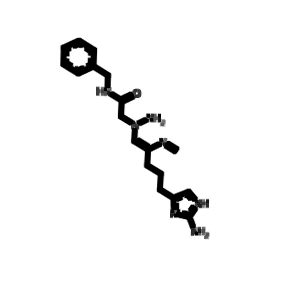 C=N/C(=C\N(N)CC(=O)NCc1ccccc1)CCCc1c[nH]c(N)n1